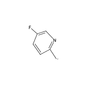 [CH]c1ccc(F)cn1